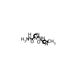 Cn1cc(C(=O)Nc2nccc(C(=O)NN)n2)cn1